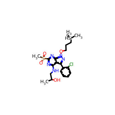 CC(O)CNc1nc(S(C)(=O)=O)nc2c1c(-c1ccccc1Cl)nn2OCCC[SiH](C)C